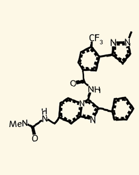 CNC(=O)NCc1ccn2c(NC(=O)c3ccc(C(F)(F)F)c(-c4ccn(C)n4)c3)c(-c3ccccc3)nc2c1